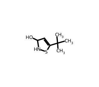 CC(C)(C)C1=CC(O)NS1